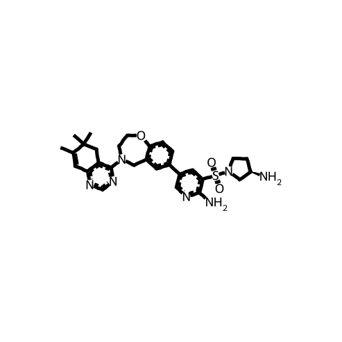 CC1=Cc2ncnc(N3CCOc4ccc(-c5cnc(N)c(S(=O)(=O)N6CC[C@@H](N)C6)c5)cc4C3)c2CC1(C)C